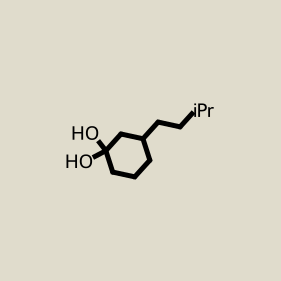 CC(C)CCC1CCCC(O)(O)C1